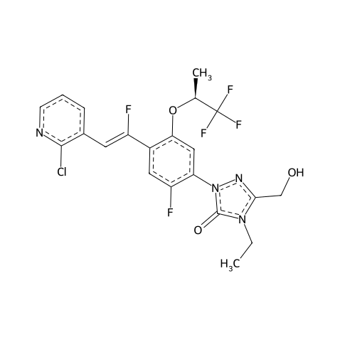 CCn1c(CO)nn(-c2cc(O[C@@H](C)C(F)(F)F)c(/C(F)=C/c3cccnc3Cl)cc2F)c1=O